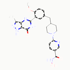 CCCc1n[nH]c2c(=O)[nH]c(-c3cc(CC4CCN(c5ccc(C(=O)NO)cn5)CC4)ccc3OCC)nc12